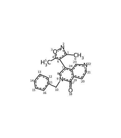 Cc1noc(C)c1-c1cn(Cc2ccccc2)c(=O)c2ccncc12